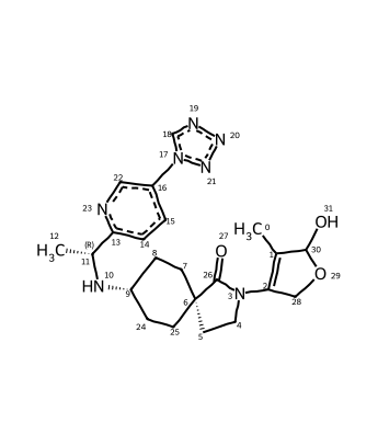 CC1=C(N2CC[C@]3(CC[C@@H](N[C@H](C)c4ccc(-n5cnnn5)cn4)CC3)C2=O)COC1O